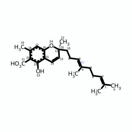 CC(C)=CCC/C(C)=C/CC[C@@]1(C)C=Cc2c(cc(C)c(C(=O)O)c2O)O1